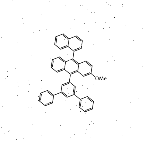 COc1ccc2c(-c3cccc4ccccc34)c3ccccc3c(-c3cc(-c4ccccc4)cc(-c4ccccc4)c3)c2c1